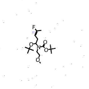 COCCN(C(=O)OC(C)(C)C)C(C/C=C(\C)F)OC(C)(C)C